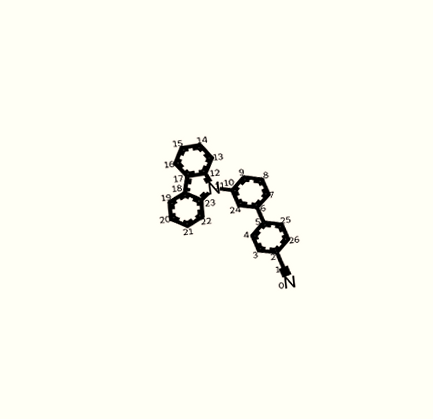 N#Cc1ccc(-c2cccc(-n3c4ccccc4c4ccccc43)c2)cc1